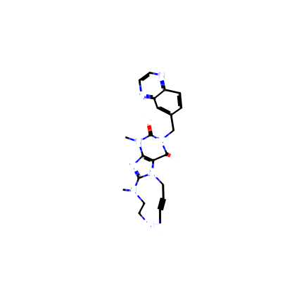 CC#CCn1c(N(C)CCN)nc2c1c(=O)n(Cc1ccc3nccnc3c1)c(=O)n2C